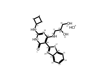 Cl.O=c1[nH]c(NC2CCC2)nc(NC[C@H](O)CO)c1-c1nc2ccccc2s1